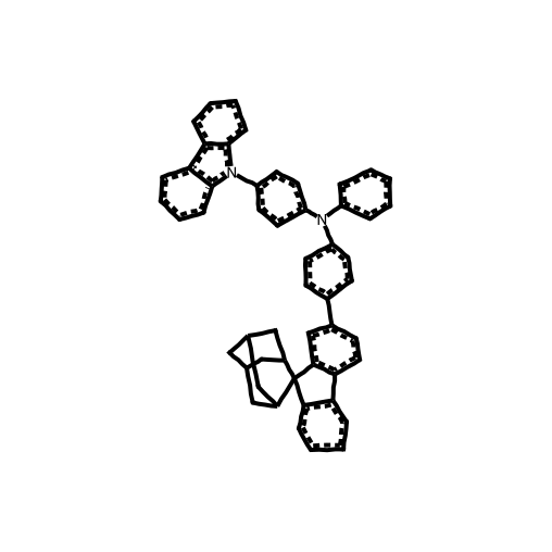 c1ccc(N(c2ccc(-c3ccc4c(c3)C3(c5ccccc5-4)C4CC5CC(C4)CC3C5)cc2)c2ccc(-n3c4ccccc4c4ccccc43)cc2)cc1